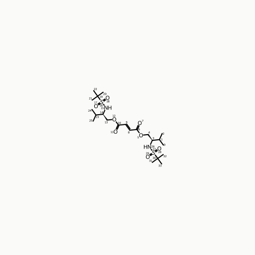 CC(C)[C@H](COC(=O)/C=C/C(=O)OC[C@H](NS(=O)(=O)C(C)(C)C)C(C)C)NS(=O)(=O)C(C)(C)C